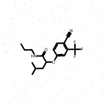 CCCNC(=O)C(CC(C)C)Oc1ccc(C#N)c(C(F)(F)F)c1